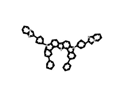 c1ccc(-c2ccc3c(c2)c2c4sc5c(ccc6c5c5cc(-c7ccccc7)ccc5n6-c5ccc(-c6cn7ccccc7n6)cc5)c4ccc2n3-c2ccc(-c3cn4ccccc4n3)cc2)cc1